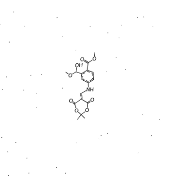 COC(=O)c1ccc(NC=C2C(=O)OC(C)(C)OC2=O)cc1C(O)OC